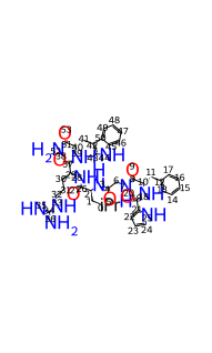 CC(C)C[C@H](NC(=O)CNC(=O)[C@H](Cc1ccccc1)NC(=O)c1ccc[nH]1)C(=O)N[C@@H](CCCNC(=N)N)C(=O)N[C@@H](Cc1c[nH]c2ccccc12)C(N)=O